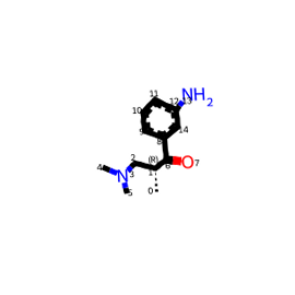 C[C@H](CN(C)C)C(=O)c1cccc(N)c1